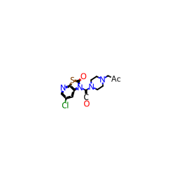 CC(=O)CN1CCN(C(=C=O)n2c(=O)sc3ncc(Cl)cc32)CC1